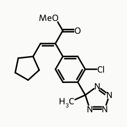 COC(=O)/C(=C/C1CCCC1)c1ccc(C2(C)N=NN=N2)c(Cl)c1